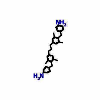 Cc1cc(CCCc2cc(C)c(Cc3ccc(N)cc3)c(C)c2)cc(C)c1Cc1ccc(N)cc1